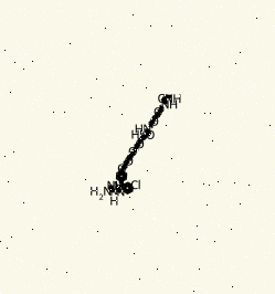 CNC(=O)NCCOCCOCCNC(=O)NCCOCCOCCOCCOc1ccc(-c2nc(NC(=N)N)nc3ccc(Cl)cc23)cc1